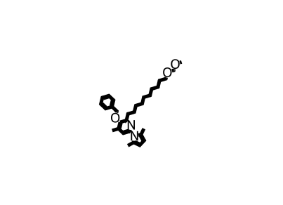 COCOCCCCCCCCCCc1nc(-n2c(C)ccc2C)cc(C)c1OCc1ccccc1